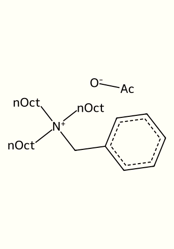 CC(=O)[O-].CCCCCCCC[N+](CCCCCCCC)(CCCCCCCC)Cc1ccccc1